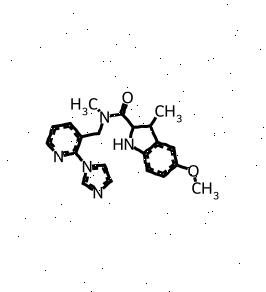 COc1ccc2c(c1)C(C)C(C(=O)N(C)Cc1cccnc1-n1ccnc1)N2